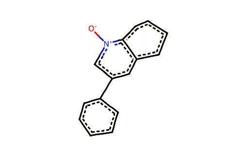 [O-][n+]1cc(-c2ccccc2)cc2ccccc21